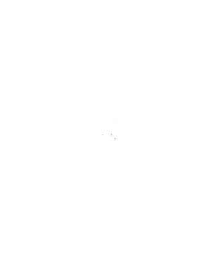 O=C(c1ccccc1)N1OC2C=CC1CCCC2